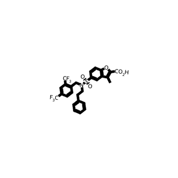 Cc1c(C(=O)O)oc2ccc(S(=O)(=O)N(CCc3ccccc3)Cc3ccc(C(F)(F)F)cc3C(F)(F)F)cc12